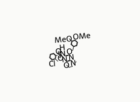 COc1ccc(COc2nc3c(nc2NS(=O)(=O)c2cccc(Cl)c2C)OCCN3C)cc1OC